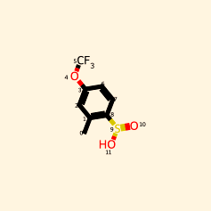 Cc1cc(OC(F)(F)F)ccc1S(=O)O